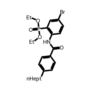 CCCCCCCc1ccc(C(=O)Nc2ccc(Br)cc2P(=O)(OCC)OCC)cc1